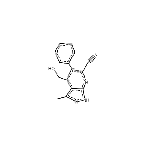 Cc1n[nH]c2nc(C#N)c(-c3ccccc3)c(CO)c12